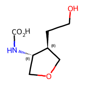 O=C(O)N[C@H]1COC[C@@H]1CCO